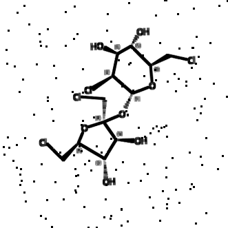 O[C@@H]1[C@@H](CCl)O[C@@](CCl)(O[C@H]2O[C@H](CCl)[C@@H](O)[C@H](O)[C@@H]2Cl)[C@H]1O